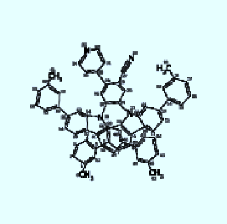 Cc1cccc(-c2ccc3c4ccc(-c5cccc(C)c5)cc4n(-c4cc(C#N)c(-c5ccncc5)cc4-n4c5cc(-c6cccc(C)c6)ccc5c5ccc(-c6cccc(C)c6)cc54)c3c2)c1